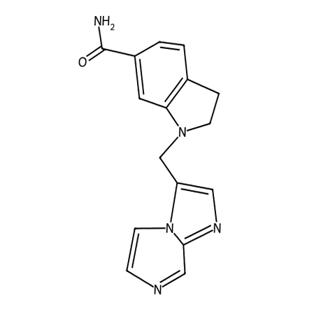 NC(=O)c1ccc2c(c1)N(Cc1cnc3cnccn13)CC2